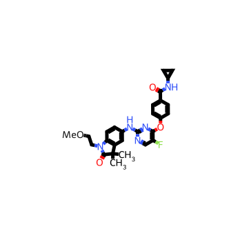 COCCN1C(=O)C(C)(C)c2cc(Nc3ncc(F)c(Oc4ccc(C(=O)NC5CC5)cc4)n3)ccc21